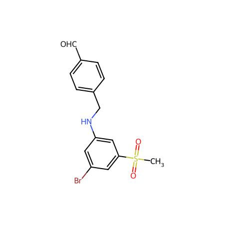 CS(=O)(=O)c1cc(Br)cc(NCc2ccc(C=O)cc2)c1